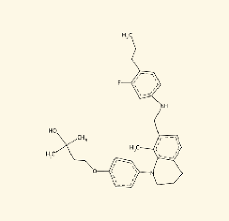 CCCc1ccc(NCc2ccc3c(c2C)N(c2ccc(OCCC(C)(C)O)cc2)CCC3)cc1F